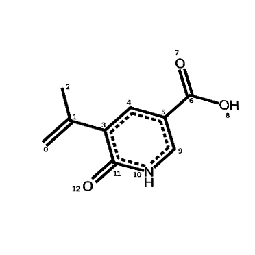 C=C(C)c1cc(C(=O)O)c[nH]c1=O